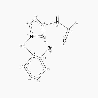 CC(=O)Nc1ccn(Cc2ccccc2Br)n1